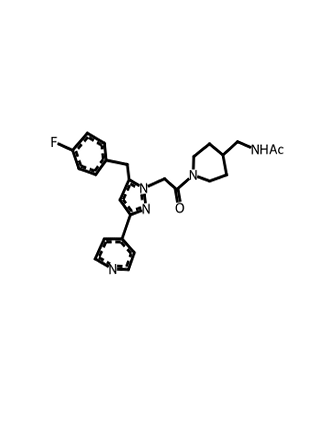 CC(=O)NCC1CCN(C(=O)Cn2nc(-c3ccncc3)cc2Cc2ccc(F)cc2)CC1